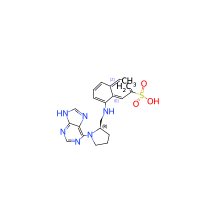 C=C(/C=c1/c(NC[C@H]2CCCN2c2ncnc3[nH]cnc23)ccc/c1=C/C)S(=O)(=O)O